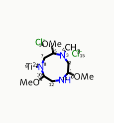 COC1CN(C)C(OC)C[N]([Ti+2])C(OC)CN1.[Cl-].[Cl-]